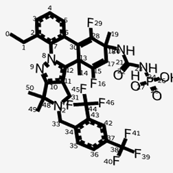 CCc1cccc2c1-n1nc3c(c1C1(C)C(F)=CC(C)(NC(=O)NP(=O)(O)O)C(F)=C21)CN(Cc1ccc(C(F)(F)F)cc1C(F)(F)F)C3(C)C